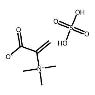 C=C(C(=O)[O-])[N+](C)(C)C.O=S(=O)(O)O